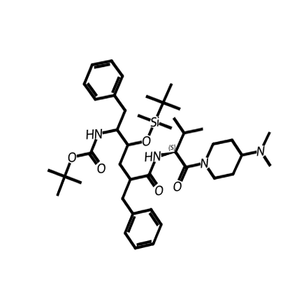 CC(C)[C@H](NC(=O)C(Cc1ccccc1)CC(O[Si](C)(C)C(C)(C)C)C(Cc1ccccc1)NC(=O)OC(C)(C)C)C(=O)N1CCC(N(C)C)CC1